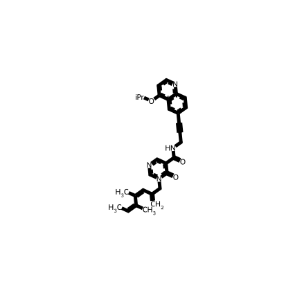 C=C(/C=C(C)\C(C)=C/C)Cn1cncc(C(=O)NCC#Cc2ccc3nccc(OC(C)C)c3c2)c1=O